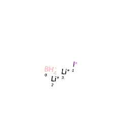 [BH4-].[I-].[Li+].[Li+]